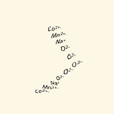 [Co+2].[Co+2].[Mn+2].[Mn+2].[Na+].[Na+].[O-2].[O-2].[O-2].[O-2].[O-2]